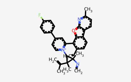 C=Cc1ccc2c(oc3nc(C)ccc32)c1-c1cc(-c2ccc(F)cc2)cc[n+]1C1C(C)(N=C)C1(C)C(=C)C